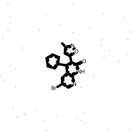 Cc1cc(-c2c(-c3ccccc3)c3cc(Br)cnc3[nH]c2=O)on1